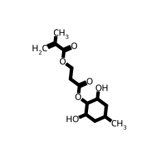 C=C(C)C(=O)OCCC(=O)OC1C(O)CC(C)CC1O